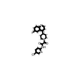 O=C(Nc1ccc(Cl)cn1)C(=O)N1CCC(c2ccnc3ccc(F)cc23)CC1